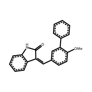 COc1ccc(C=C2C(=O)Nc3ccccc32)cc1-c1ccccc1